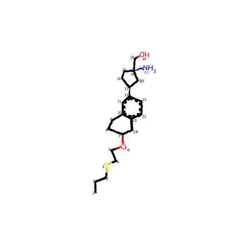 CCCSCCO[C@H]1CCc2cc([C@H]3CC[C@](N)(CO)C3)ccc2C1